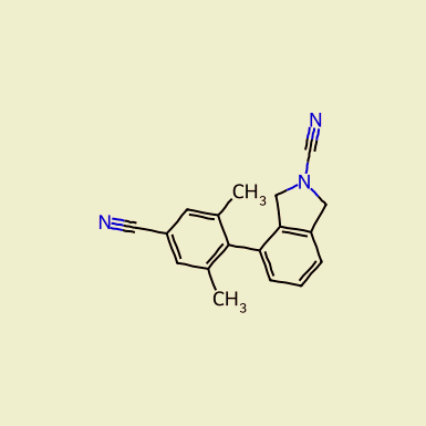 Cc1cc(C#N)cc(C)c1-c1cccc2c1CN(C#N)C2